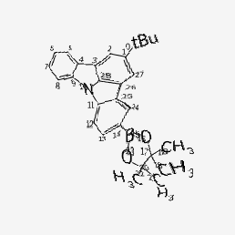 CC(C)(C)c1cc2c3ccccc3n3c4ccc(B5OC(C)(C)C(C)(C)O5)cc4c(c1)c23